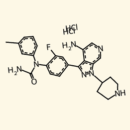 Cc1cccc(N(C(N)=O)c2ccc(-c3nn(C4CCNCC4)c4cncc(N)c34)cc2F)c1.Cl.Cl